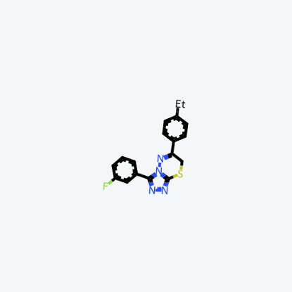 CCc1ccc(C2=Nn3c(nnc3-c3cccc(F)c3)SC2)cc1